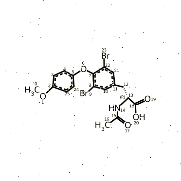 COc1ccc(Oc2c(Br)cc(C[C@@H](NC(C)=O)C(=O)O)cc2Br)cc1